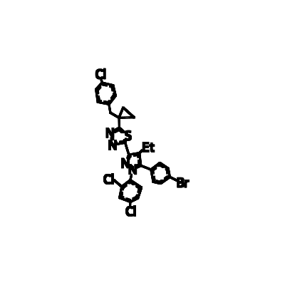 CCc1c(-c2nnc(C3(Cc4ccc(Cl)cc4)CC3)s2)nn(-c2ccc(Cl)cc2Cl)c1-c1ccc(Br)cc1